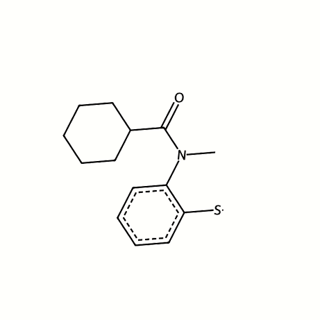 CN(C(=O)C1CCCCC1)c1ccccc1[S]